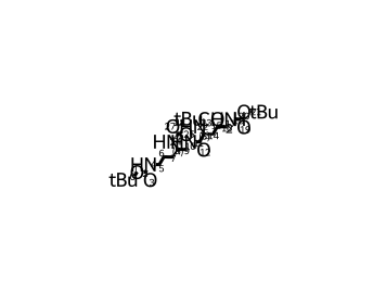 CC(C)(C)OC(=O)NCCC[C@H](CNC(=O)[C@H](CCCNC(=O)OC(C)(C)C)NC(=O)O)NC(=O)OC(C)(C)C